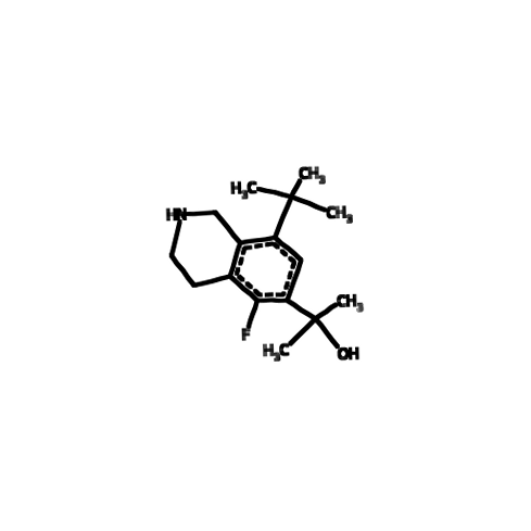 CC(C)(C)c1cc(C(C)(C)O)c(F)c2c1CNCC2